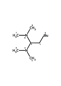 CCC(C)CC(N(C)C)N(C)C